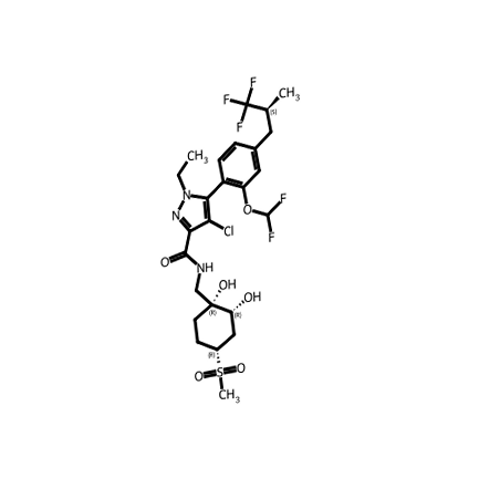 CCn1nc(C(=O)NC[C@]2(O)CC[C@@H](S(C)(=O)=O)C[C@H]2O)c(Cl)c1-c1ccc(C[C@H](C)C(F)(F)F)cc1OC(F)F